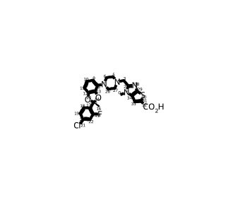 Cn1c(CN2CCN(c3cccc4c3O[C@](C)(c3ccc(Cl)cc3F)O4)CC2)nc2sc(C(=O)O)cc21